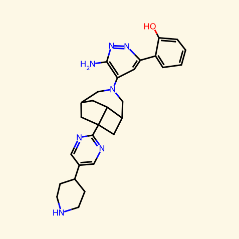 Nc1nnc(-c2ccccc2O)cc1N1CC2CC3C(C1)CC3(c1ncc(C3CCNCC3)cn1)C2